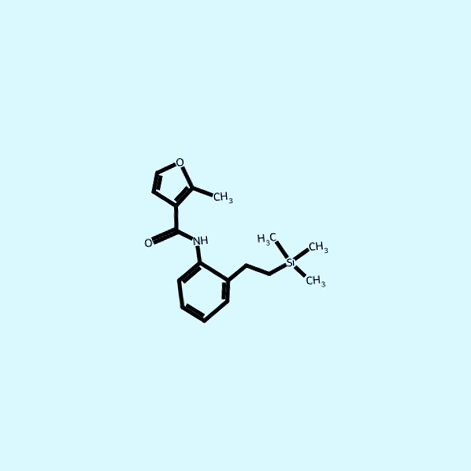 Cc1occc1C(=O)Nc1ccccc1CC[Si](C)(C)C